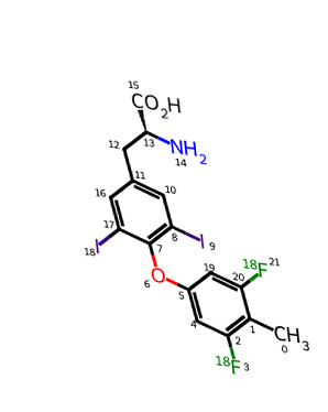 Cc1c([18F])cc(Oc2c(I)cc(C[C@H](N)C(=O)O)cc2I)cc1[18F]